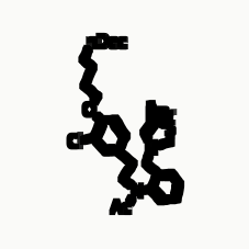 Br.CCCCCCCCCCCCCCOc1ccc(CCN(C(C)=O)c2ccccc2CN2C=C(C)SC2)cc1Cl